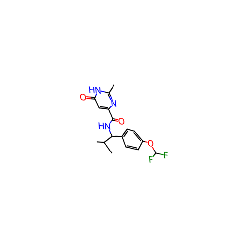 Cc1nc(C(=O)NC(c2ccc(OC(F)F)cc2)C(C)C)cc(=O)[nH]1